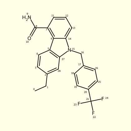 CCc1c[c]c2c3c(C(N)=O)cccc3n(Cc3ccc(C(F)(F)F)cc3)c2c1